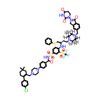 [2H]C1([2H])N(CC[C@H](CSc2ccccc2)Nc2ccc(S(=O)(=O)NC(=O)c3ccc(N4CCN(CC5=C(c6ccc(Cl)cc6)CCC(C)(C)C5)CC4)cc3)cc2S(=O)(=O)C(F)(F)F)C([2H])([2H])C([2H])([2H])N(Cc2ccc3c(c2)CN(N2CCC(=O)NC2=O)C3=O)C1([2H])[2H]